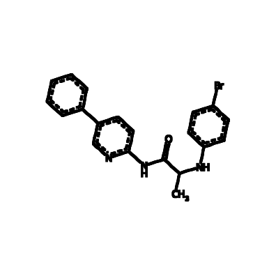 CC(Nc1ccc(Br)cc1)C(=O)Nc1ccc(-c2ccccc2)cn1